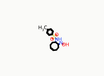 Cc1ccc(S(=O)(=O)NC2CC/C=C\CC/C2=N\O)cc1